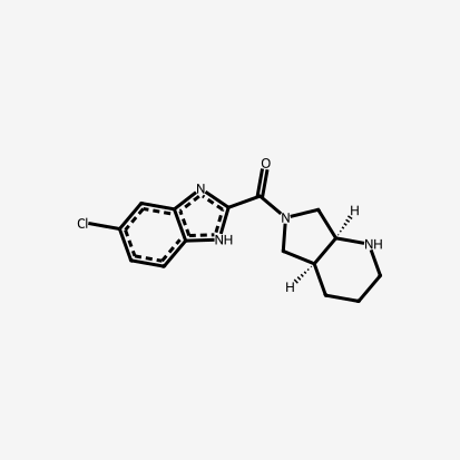 O=C(c1nc2cc(Cl)ccc2[nH]1)N1C[C@@H]2CCCN[C@@H]2C1